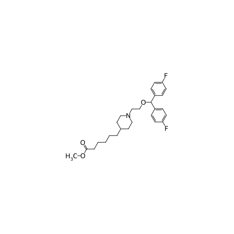 COC(=O)CCCCCC1CCN(CCOC(c2ccc(F)cc2)c2ccc(F)cc2)CC1